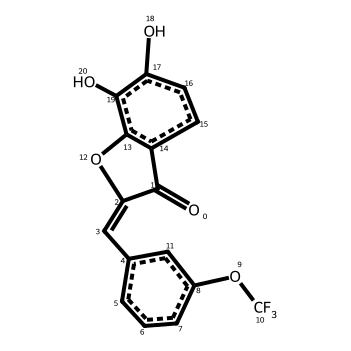 O=C1/C(=C\c2cccc(OC(F)(F)F)c2)Oc2c1ccc(O)c2O